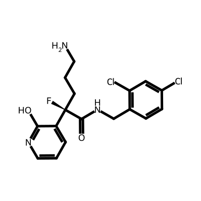 NCCC[C@](F)(C(=O)NCc1ccc(Cl)cc1Cl)c1cccnc1O